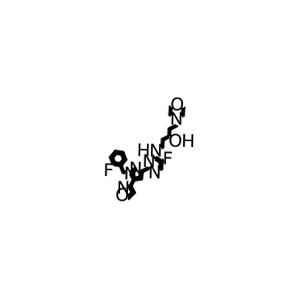 OC(CCNc1nc(-c2cc(-c3ccon3)n(Cc3ccccc3F)n2)ncc1F)CCN1CCOCC1